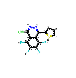 Fc1c(F)c(F)c2c(-c3cccs3)nnc(Cl)c2c1F